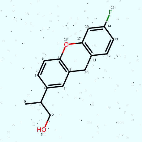 CC(CO)c1ccc2c(c1)Cc1ccc(F)cc1O2